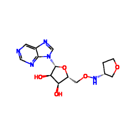 O[C@@H]1[C@H](O)[C@@H](CON[C@@H]2CCOC2)O[C@H]1n1cnc2cncnc21